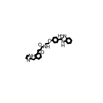 Nc1ccccc1NC(=O)c1ccc(OCCNC(=O)c2cc3cc(Cc4ncc[nH]4)ccc3o2)cc1